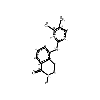 CN1CCc2c(Nc3ncc(C(F)(F)F)c(Cl)n3)cccc2C1=O